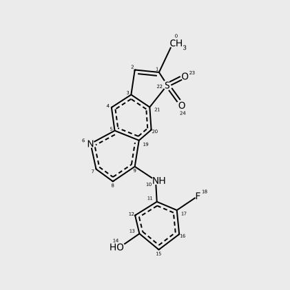 CC1=Cc2cc3nccc(Nc4cc(O)ccc4F)c3cc2S1(=O)=O